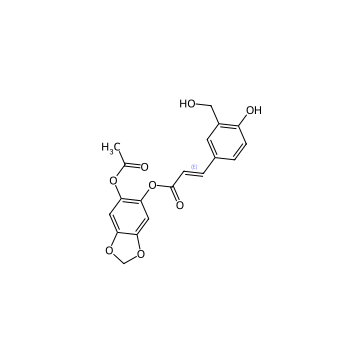 CC(=O)Oc1cc2c(cc1OC(=O)/C=C/c1ccc(O)c(CO)c1)OCO2